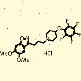 COc1cc2onc(CCCN3CCC(Oc4c(F)c(F)c(F)c(F)c4F)CC3)c2cc1OC.Cl